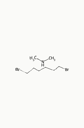 BrCCCCCCBr.CNC